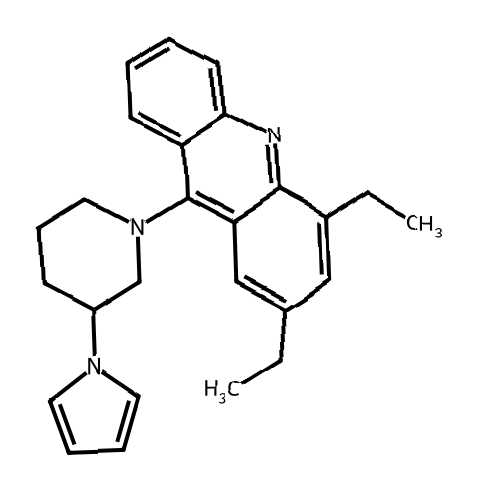 CCc1cc(CC)c2nc3ccccc3c(N3CCCC(n4cccc4)C3)c2c1